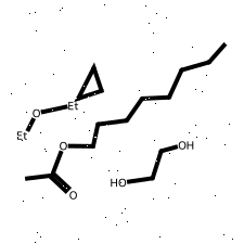 C1CC1.CCCCCCCCOC(C)=O.CCOCC.OCCO